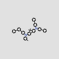 Cc1cccc(N(c2ccc(-c3cccc(-c4ccccc4)c3)cc2)c2ccc3c(c2)C(C)(C)c2cc(N(c4ccc(-c5ccccc5)cc4)c4ccc(-c5ccccc5)cc4)ccc2-3)c1